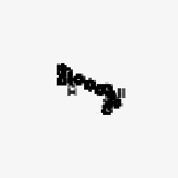 CC(C)(C)OC(=O)N1CCC[C@H]1c1nc2ccc(-c3ccc(-c4ccc5c(ccc6[nH]c([C@@H]7CCCN7C(=O)OC(C)(C)C)nc65)c4)cc3)cc2[nH]1